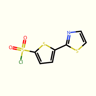 O=S(=O)(Cl)c1ccc(-c2nccs2)s1